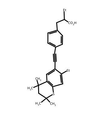 CCc1cc2c(cc1C#Cc1ccc(CC(CC)C(=O)O)cc1)C(C)(C)CC(C)(C)S2